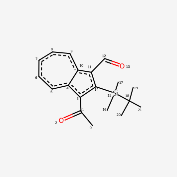 CC(=O)c1c2cccccc-2c(C=O)c1[Si](C)(C)C(C)(C)C